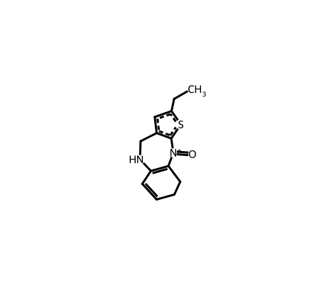 CCc1cc2c(s1)[N+](=O)C1=C(C=CCC1)NC2